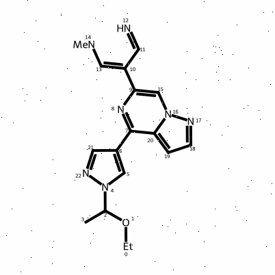 CCOC(C)n1cc(-c2nc(/C(C=N)=C/NC)cn3nccc23)cn1